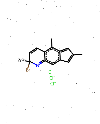 CC1=Cc2cc3c(c(C)c2=C1)C=C[C](Br)([Zr+3])N=3.[Cl-].[Cl-].[Cl-]